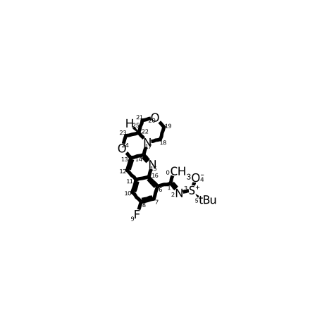 C/C(=N\[S@+]([O-])C(C)(C)C)c1cc(F)cc2cc3c(nc12)N1CCOC[C@H]1CO3